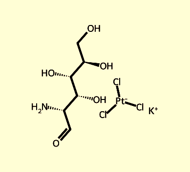 N[C@@H](C=O)[C@@H](O)[C@H](O)[C@H](O)CO.[Cl][Pt-]([Cl])[Cl].[K+]